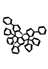 c1ccc(-c2ccc3c(c2)C(c2ccccc2)(c2ccccc2)c2cc4c(oc5ccccc54)c4c2N3c2ccc(-c3ccccc3)cc2C4(c2ccccc2)c2ccccc2)cc1